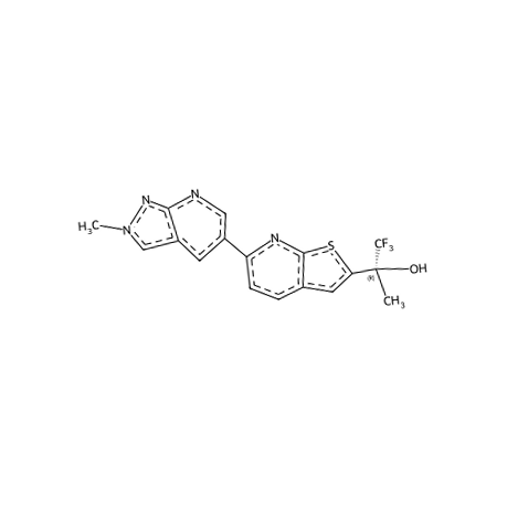 Cn1cc2cc(-c3ccc4cc([C@](C)(O)C(F)(F)F)sc4n3)cnc2n1